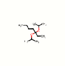 CCCCC(CC)(OC(C)C)OC(C)C